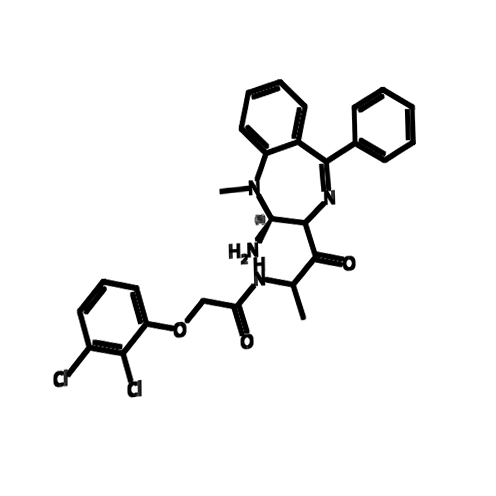 CC(NC(=O)COc1cccc(Cl)c1Cl)C(=O)C1N=C(c2ccccc2)c2ccccc2N(C)[C@@H]1N